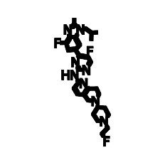 Cc1nc2c(F)cc(-c3nc(Nc4ccc5c(n4)CCN(C4CCN(CCF)CC4)C5)ncc3F)cc2n1CC(C)C